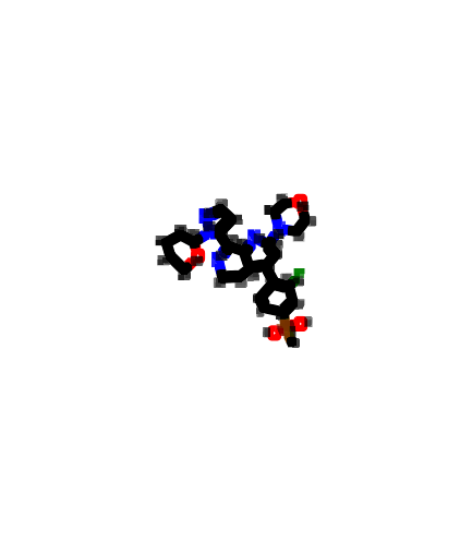 CS(=O)(=O)c1ccc(-c2cc(N3CCOCC3)nc3c(-c4ccnn4C4CCCCO4)nccc23)c(F)c1